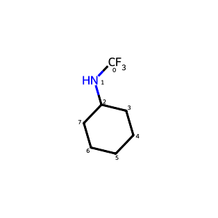 FC(F)(F)NC1CCCCC1